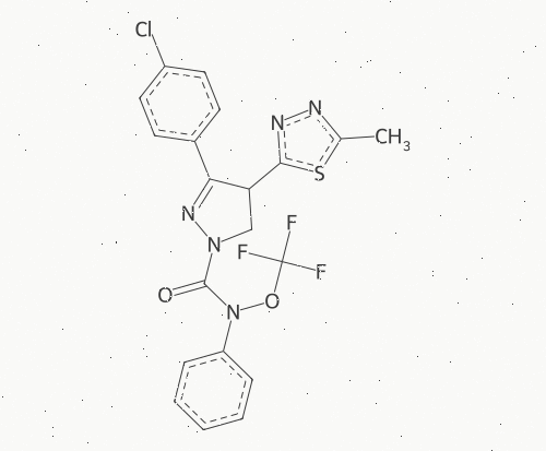 Cc1nnc(C2CN(C(=O)N(OC(F)(F)F)c3ccccc3)N=C2c2ccc(Cl)cc2)s1